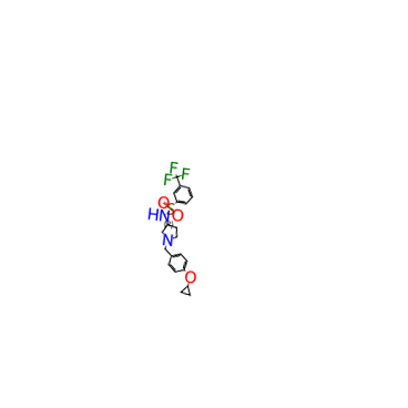 O=S(=O)(N[C@@H]1CCN(Cc2ccc(OC3CC3)cc2)C1)c1cccc(C(F)(F)F)c1